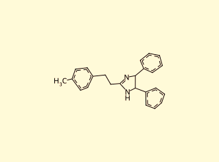 Cc1ccc(CCC2=NC(c3ccccc3)C(c3ccccc3)N2)cc1